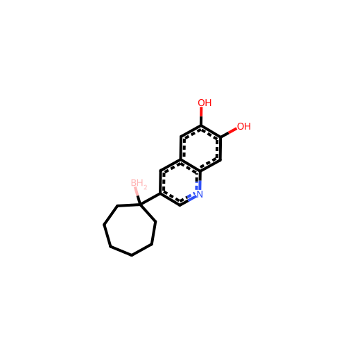 BC1(c2cnc3cc(O)c(O)cc3c2)CCCCCC1